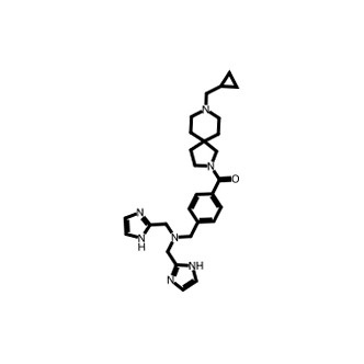 O=C(c1ccc(CN(Cc2ncc[nH]2)Cc2ncc[nH]2)cc1)N1CCC2(CCN(CC3CC3)CC2)C1